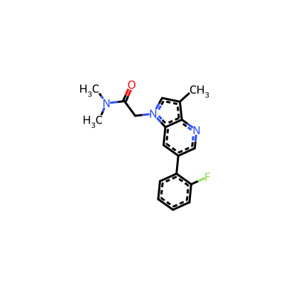 Cc1cn(CC(=O)N(C)C)c2cc(-c3ccccc3F)cnc12